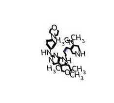 CN(C)C1=C(/C=C\CN2c3nc(Nc4ccc(N5CCOCC5)cc4)ncc3[C@]3(C)COC(C)(C)C[C@H]23)CNCC1